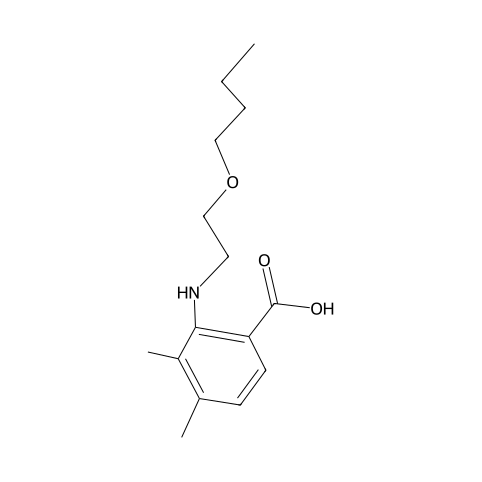 CCCCOCCNc1c(C(=O)O)ccc(C)c1C